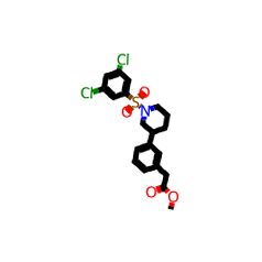 COC(=O)Cc1cccc(C2CCCN(S(=O)(=O)c3cc(Cl)cc(Cl)c3)C2)c1